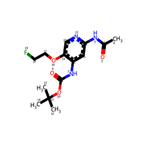 CC(=O)Nc1cc(NC(=O)OC(C)(C)C)c(OCCF)cn1